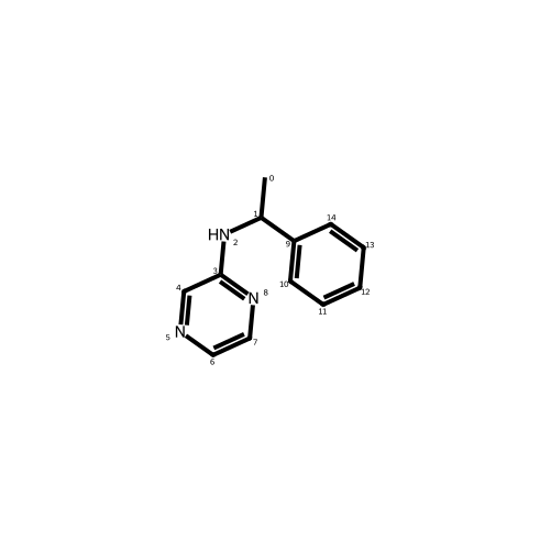 CC(Nc1cnccn1)c1ccccc1